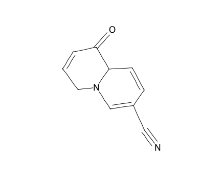 N#CC1=CN2CC=CC(=O)C2C=C1